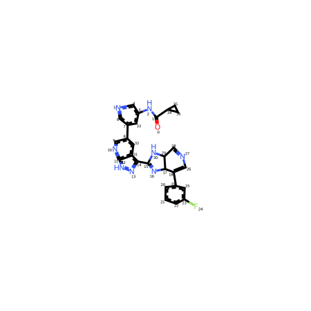 O=C(Nc1cncc(-c2cnc3[nH]nc(C4=NC5C(c6cccc(F)c6)=CN=CC5N4)c3c2)c1)C1CC1